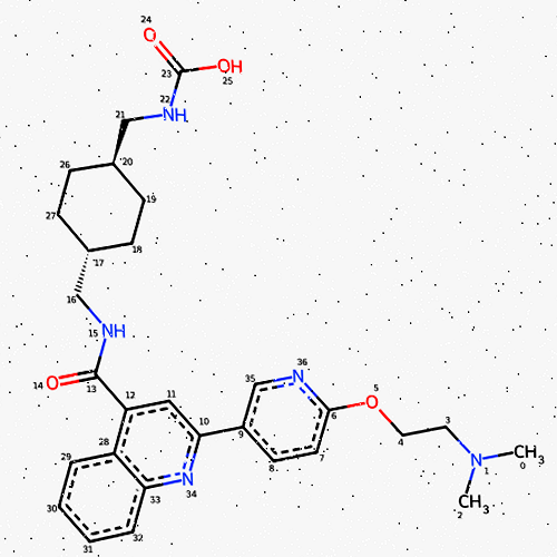 CN(C)CCOc1ccc(-c2cc(C(=O)NC[C@H]3CC[C@H](CNC(=O)O)CC3)c3ccccc3n2)cn1